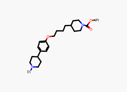 CCN1CCC(c2ccc(OCCCCC3CCN(C(=O)OC(C)C)CC3)cc2)CC1